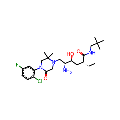 CC[C@H](C[C@H](O)[C@@H](N)CN1CC(=O)N(c2cc(F)ccc2Cl)CC1(C)C)C(=O)NCC(C)(C)C